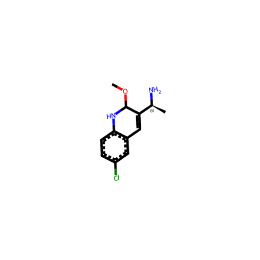 COC1Nc2ccc(Cl)cc2C=C1[C@H](C)N